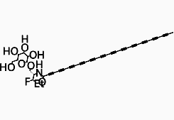 CC#CC#CC#CC#CC#CC#CC#CC#CC#CC#CC#CC#CC(=O)N[C@@H](CO[C@H]1OC(CO)[C@H](O)[C@H](O)C1O)[C@H](F)CC